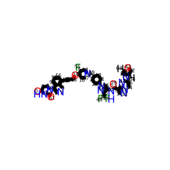 O=C1CCN(c2cncc3c(C#CCO[C@@H]4CCN(C[C@H]5CC[C@H](n6cc(NC(=O)c7cnn8ccc(N9C[C@H]%10C[C@@H]9CO%10)nc78)c(C(F)F)n6)CC5)C[C@@H]4F)cccc23)C(=O)N1